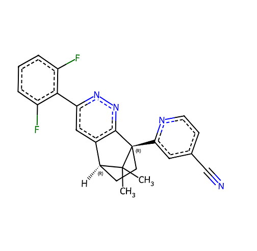 CC1(C)[C@H]2CC[C@@]1(c1cc(C#N)ccn1)c1nnc(-c3c(F)cccc3F)cc12